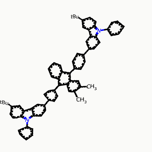 Cc1cc2c(-c3ccc(-c4ccc5c(c4)c4cc(C(C)(C)C)ccc4n5-c4ccccc4)cc3)c3ccccc3c(-c3ccc(-c4ccc5c(c4)c4cc(C(C)(C)C)ccc4n5-c4ccccc4)cc3)c2cc1C